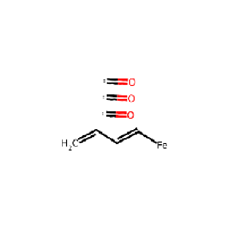 C=CC=[CH][Fe].[C]=O.[C]=O.[C]=O